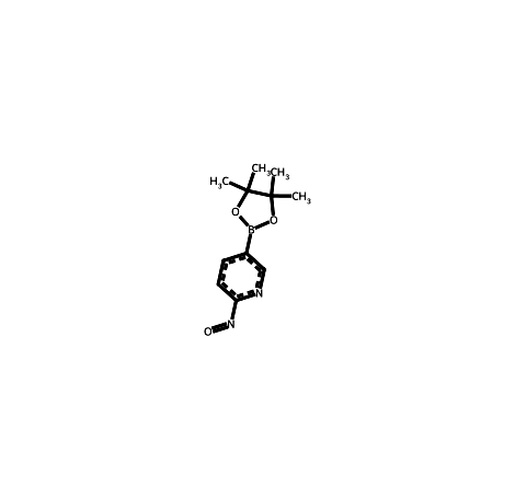 CC1(C)OB(c2ccc(N=O)nc2)OC1(C)C